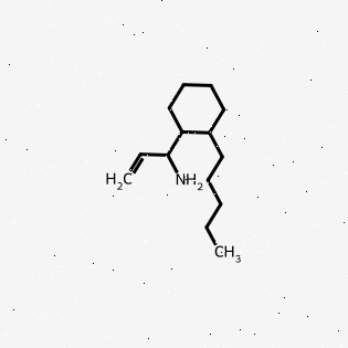 C=CC(N)C1CCCCC1CCCCC